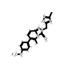 Cc1noc(Cn2nc3ccc(-c4ccc(OC(F)(F)F)cc4)c(C)n3c2=O)n1